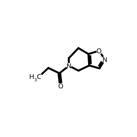 CCC(=O)N1CCc2oncc2C1